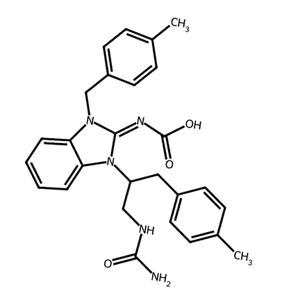 Cc1ccc(CC(CNC(N)=O)n2/c(=N\C(=O)O)n(Cc3ccc(C)cc3)c3ccccc32)cc1